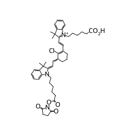 CC1(C)C(/C=C/C2=C(Cl)C(=C/C=C3/N(CCCCCC(=O)ON4C(=O)CCC4=O)c4ccccc4C3(C)C)/CCC2)=[N+](CCCCCC(=O)O)c2ccccc21